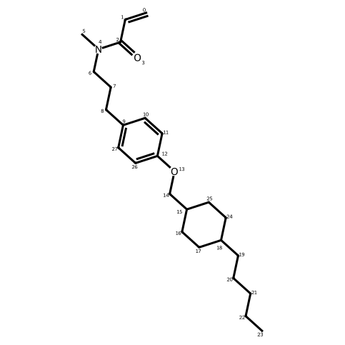 C=CC(=O)N(C)CCCc1ccc(OCC2CCC(CCCCC)CC2)cc1